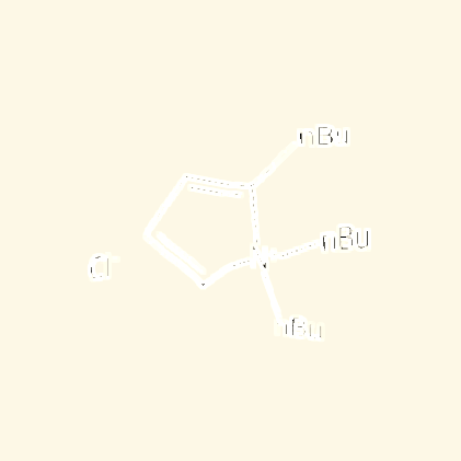 CCCCC1=CC=C[N+]1(CCCC)CCCC.[Cl-]